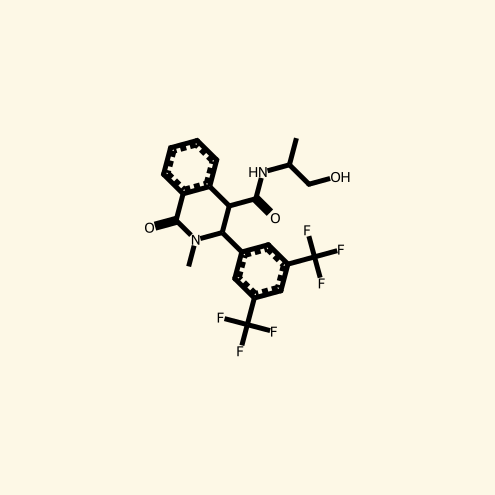 CC(CO)NC(=O)C1c2ccccc2C(=O)N(C)C1c1cc(C(F)(F)F)cc(C(F)(F)F)c1